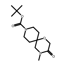 CN1CC2(CCN(C(=O)OC(C)(C)C)CC2)OCC1=O